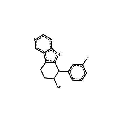 CC(=O)N1CCc2c([nH]c3ncncc23)C1c1cccc(F)c1